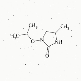 CC1CN(OC(C)C)C(=O)N1